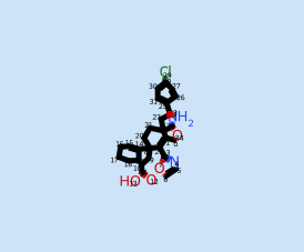 CC1=C(c2ncco2)C(CCC(=O)O)(C2=CCCCC2)CCC1(CCc1ccc(Cl)cc1)C(N)=O